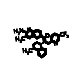 Cc1cc2cc(C(=O)N(Cc3ccc(C(F)(F)F)cn3)[C@H]3CC[C@@H](C)c4ccccc43)ccc2nc1N